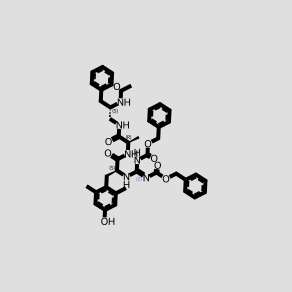 CC(=O)N[C@H](CNC(=O)[C@@H](C)NC(=O)[C@H](Cc1c(C)cc(O)cc1C)N/C(=N/C(=O)OCc1ccccc1)NC(=O)OCc1ccccc1)Cc1ccccc1